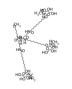 COCCCCCCNC(=O)C(CCCCNC(=O)CCCCCCCCCCCOC1OC(CO)C(O)C(O)C1NC(C)=O)NC(=O)C(CCCCNC(=O)CCCCCCCCCCCOC1OC(CO)C(O)C(O)C1NC(C)=O)NC(=O)CCCCCCCCCCCOC1OC(CO)C(O)C(O)C1NC(C)=O